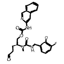 CN(C(=O)NCc1cccc(F)c1Cl)[C@@H](CCC=O)COC(=O)Nc1cc2ccccc2cn1